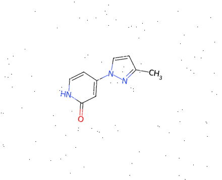 Cc1ccn(-c2cc[nH]c(=O)c2)n1